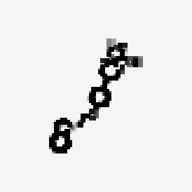 CC1(C(=O)O)OCC(c2ccc(OCCn3ccc4ccccc43)cc2)CO1